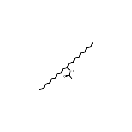 CCCCCCCCCC(CCCCCCCCC)NC(C)=O